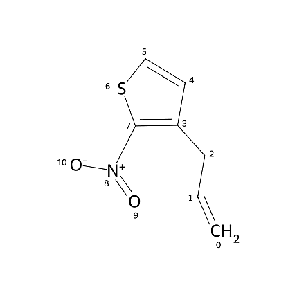 C=CCc1ccsc1[N+](=O)[O-]